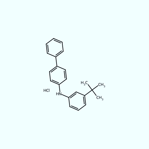 CC(C)(C)c1cccc(Nc2ccc(-c3ccccc3)cc2)c1.Cl